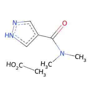 CC(=O)O.CN(C)C(=O)c1cn[nH]c1